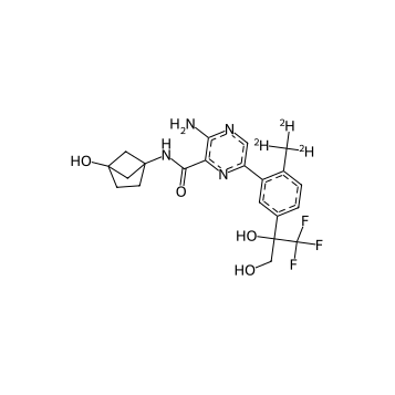 [2H]C([2H])([2H])c1ccc(C(O)(CO)C(F)(F)F)cc1-c1cnc(N)c(C(=O)NC23CCC(O)(C2)C3)n1